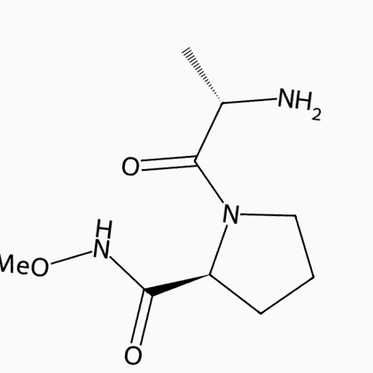 CONC(=O)[C@@H]1CCCN1C(=O)[C@H](C)N